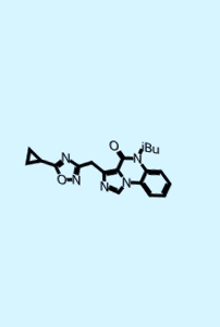 CCC(C)n1c(=O)c2c(Cc3noc(C4CC4)n3)ncn2c2ccccc21